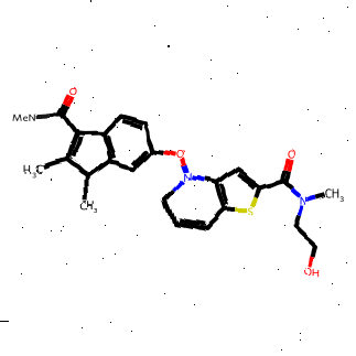 CNC(=O)C1=C(C)C(C)c2cc(ON3CC=Cc4sc(C(=O)N(C)CCO)cc43)ccc21